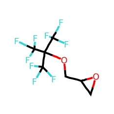 FC(F)(F)C(OCC1CO1)(C(F)(F)F)C(F)(F)F